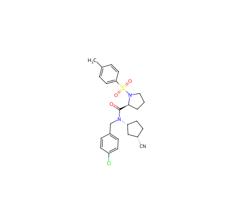 Cc1ccc(S(=O)(=O)N2CCC[C@H]2C(=O)N(Cc2ccc(Cl)cc2)[C@@H]2CC[C@H](C#N)C2)cc1